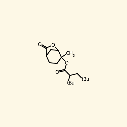 CC(C)(C)CC(C(=O)OC1(C)CCC2CC1OC2=O)C(C)(C)C